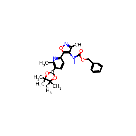 Cc1nc(-c2onc(C)c2NC(=O)OCc2ccccc2)ccc1B1OC(C)(C)C(C)(C)O1